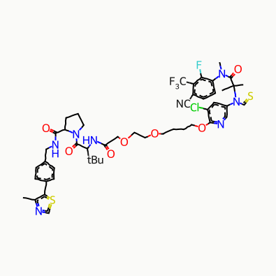 Cc1ncsc1-c1ccc(CNC(=O)C2CCCN2C(=O)C(NC(=O)COCCOCCCCOc2ncc(N(C=S)C(C)(C)C(=O)N(C)c3ccc(C#N)c(C(F)(F)F)c3F)cc2Cl)C(C)(C)C)cc1